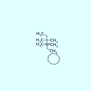 C1CCCCCCC1.CCC(C)(C)[N+](C)(C)CC